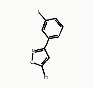 Clc1cc(-c2cccc(I)c2)no1